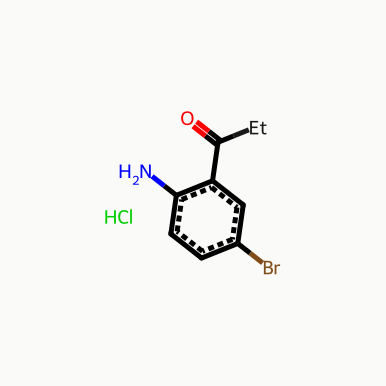 CCC(=O)c1cc(Br)ccc1N.Cl